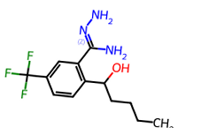 CCCCC(O)c1ccc(C(F)(F)F)cc1/C(N)=N/N